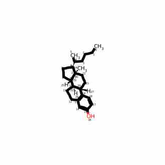 CCCCC(C)[C@H]1CC[C@H]2[C@@H]3CCc4cc(O)ccc4[C@H]3CC[C@]12C